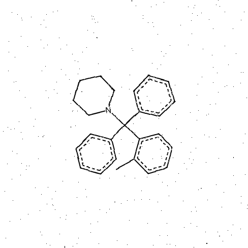 Cc1ccccc1C(c1ccccc1)(c1ccccc1)N1CCCCC1